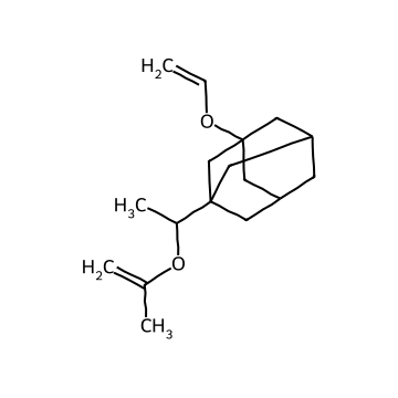 C=COC12CC3CC(C1)CC(C(C)OC(=C)C)(C3)C2